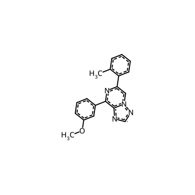 COc1cccc(-c2nc(-c3ccccc3C)cn3n[c]nc23)c1